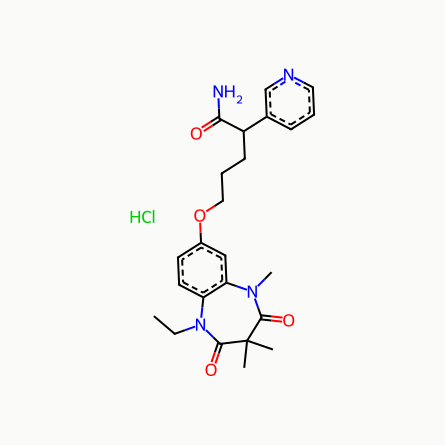 CCN1C(=O)C(C)(C)C(=O)N(C)c2cc(OCCCC(C(N)=O)c3cccnc3)ccc21.Cl